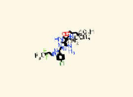 CC(C)(Cc1coc([C@@]2(C)C(=O)Nc3nc(-c4nn(CCC(F)(F)C(F)(F)F)c5cc(Cl)ccc45)nc(N)c32)n1)C(=O)O